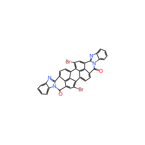 O=c1c2cc(Br)c3c4ccc5c(=O)n6c7ccccc7nc6c6cc(Br)c(c7ccc(c2c73)c2nc3ccccc3n12)c4c56